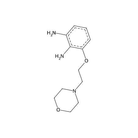 Nc1cccc(OCCN2CCOCC2)c1N